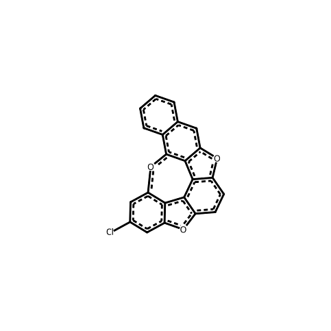 Clc1cc2oc3ccc4oc5cc6ccccc6c6oc(c1)c2c3c4c56